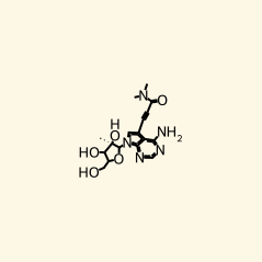 CN(C)C(=O)C#Cc1cn(C2OC(CO)C(O)[C@@]2(C)O)c2ncnc(N)c12